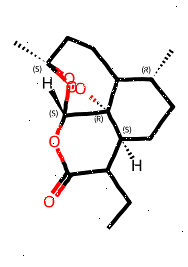 CCC1C(=O)O[C@@H]2O[C@]3(C)CCC4[C@H](C)CC[C@@H]1[C@]42OO3